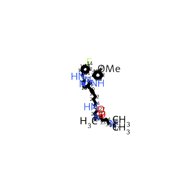 COc1ccc(Nc2nc(Nc3ccc(F)cc3)ncc2C#CCCCNC(=O)CN(C)C(=O)/C=C/CN(C)C)cc1